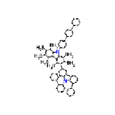 Bc1c(B)c(B)c2c(c1B)c1c(B)c(-c3ccc4c(c3)c3cccc(-c5ccccc5)c3n4-c3ccccc3-c3ccccc3)c(B)c(B)c1n2-c1ccc(-c2ccc(-c3ccccc3)cc2)cc1